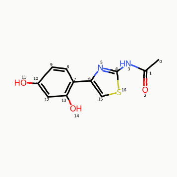 CC(=O)Nc1nc(-c2ccc(O)cc2O)cs1